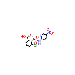 CC(c1c(Cl)cccc1C(=O)O)S(=O)(=O)Nc1ccc([N+](=O)[O-])cn1